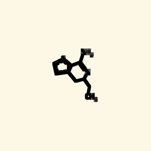 CCC1Cc2ccsc2C(N)=N1